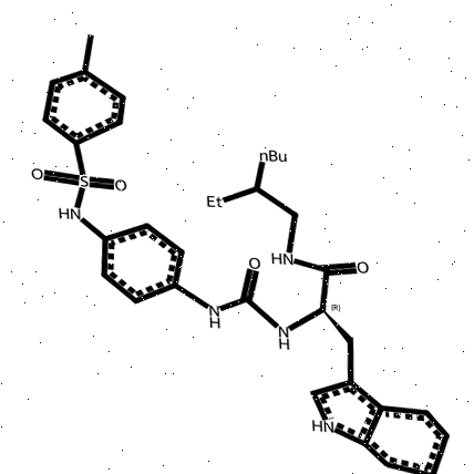 CCCCC(CC)CNC(=O)[C@@H](Cc1c[nH]c2ccccc12)NC(=O)Nc1ccc(NS(=O)(=O)c2ccc(C)cc2)cc1